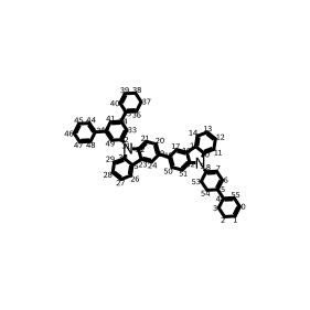 C1=CCCC(C2=CC=C(n3c4ccccc4c4cc(-c5ccc6c(c5)c5ccccc5n6-c5cc(C6=CCCC=C6)cc(-c6ccccc6)c5)ccc43)CC2)=C1